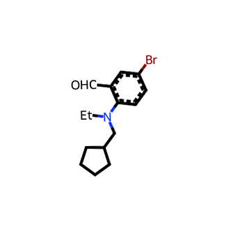 CCN(CC1CCCC1)c1ccc(Br)cc1C=O